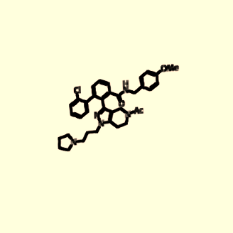 COc1ccc(CNC(=O)c2cccc(-c3ccccc3Cl)c2-c2nn(CCCN3CCCC3)c3c2CN(C(C)=O)CC3)cc1